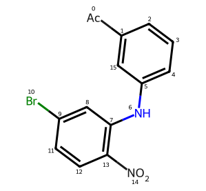 CC(=O)c1cccc(Nc2cc(Br)ccc2[N+](=O)[O-])c1